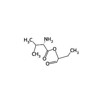 CCC(C=O)OC(=O)[C@@H](N)C(C)C